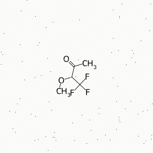 COC(C(C)=O)C(F)(F)F